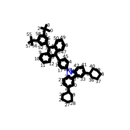 CC(C)(C)c1cc(-c2c3ccccc3c(-c3ccc(-n4c5ccc(C6CCCCC6)cc5c5cc(C6CCCCC6)ccc54)cc3)c3ccccc23)cc(C(C)(C)C)c1